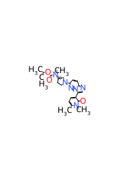 Cc1ccc(-c2cnc3ccc(N4CC[C@H](N(C)C(=O)OC(C)C)C4)nn23)c(=O)n1C